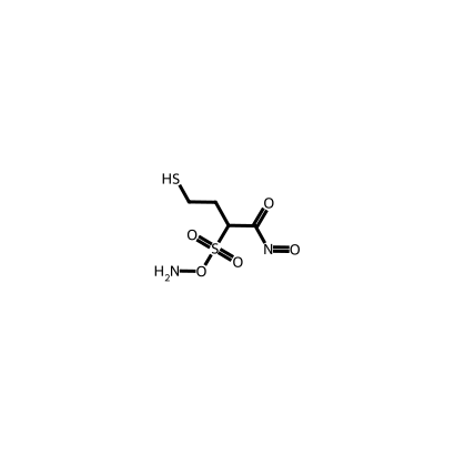 NOS(=O)(=O)C(CCS)C(=O)N=O